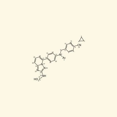 C1CC1.CC(=O)N(Cc1ccc(C#N)nc1)c1ccc(-c2cccc3nc(NC(=O)O)nn23)cc1